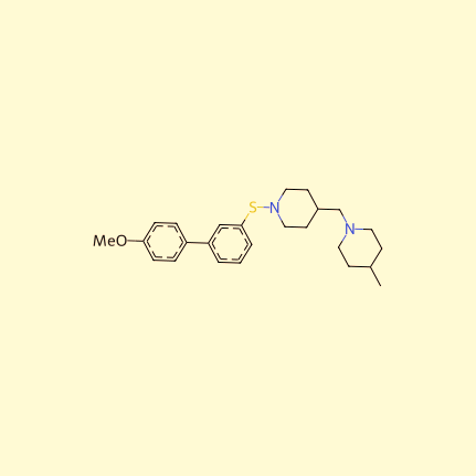 COc1ccc(-c2cccc(SN3CCC(CN4CCC(C)CC4)CC3)c2)cc1